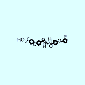 O=C(NCCNC(=O)c1ccc(O[C@H]2CC[C@@H](C(=O)O)CC2)cc1)c1ccc(OCc2cccc(F)c2)cc1